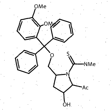 CNC(=S)N1C(COC(c2ccccc2)(c2ccccc2)c2cccc(OC)c2OC)CC(O)C1C(C)=O